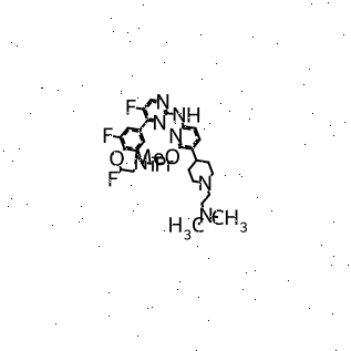 COc1nc(Nc2ncc(F)c(-c3cc(F)c4c(c3)N(C(C)C)CC(F)O4)n2)ccc1C1CCN(CCN(C)C)CC1